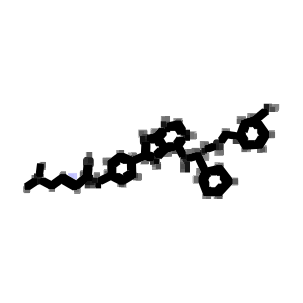 CN(C)C/C=C/C(=O)Nc1ccc(-c2nc3c(N[C@H](COCc4cccc(F)c4)c4ccccc4)ncnc3o2)cc1